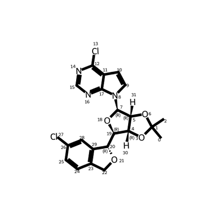 CC1(C)O[C@H]2[C@@H](O1)[C@H](n1ccc3c(Cl)ncnc31)O[C@@H]2[C@@H]1OCc2ccc(Cl)cc21